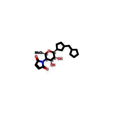 CO[C@@H]1O[C@H](C2CCC(CC3CCCC3)C2)[C@H](O)[C@H](O)[C@H]1N1C(=O)C=CC1=O